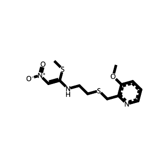 COc1cccnc1CSCCN/C(=C/[N+](=O)[O-])SC